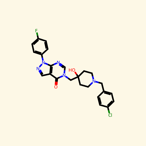 O=c1c2cnn(-c3ccc(F)cc3)c2ncn1CC1(O)CCN(Cc2ccc(Cl)cc2)CC1